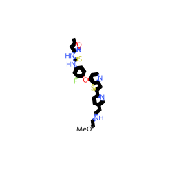 COCCNCCc1ccc(-c2cc3nccc(Oc4ccc(NC(=S)Nc5cc(C)on5)cc4F)c3s2)nc1